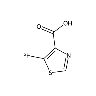 [2H]c1scnc1C(=O)O